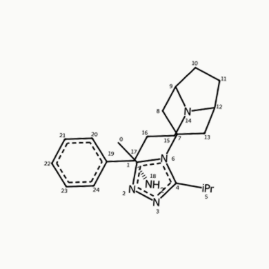 Cc1nnc(C(C)C)n1C1CC2CCC(C1)N2CC[C@H](N)c1ccccc1